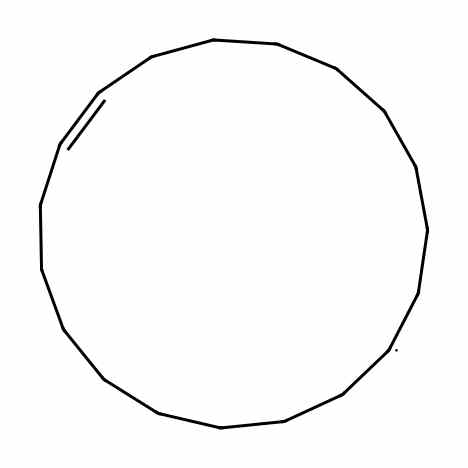 [CH]1CCCCCCCCC=CCCCCCCCC1